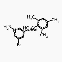 COc1cc(Br)c[n+](N)c1.Cc1cc(C)c(S(=O)(=O)O)c(C)c1